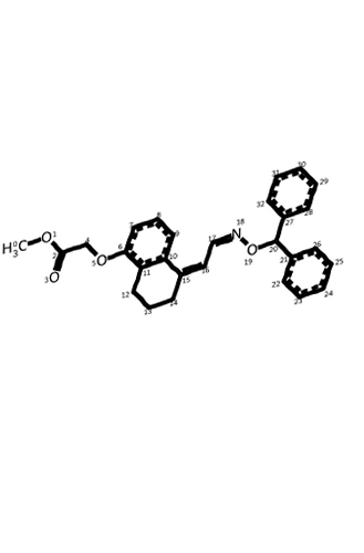 COC(=O)COc1cccc2c1CCC/C2=C/C=N\OC(c1ccccc1)c1ccccc1